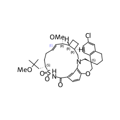 CO[C@H]1/C=C/CC[C@@H](CC(C)(C)OC)S(=O)(=O)NC(=O)c2ccc3c(c2)N(C[C@@H]2CC[C@H]21)C[C@@]1(CCCc2cc(Cl)ccc21)CO3